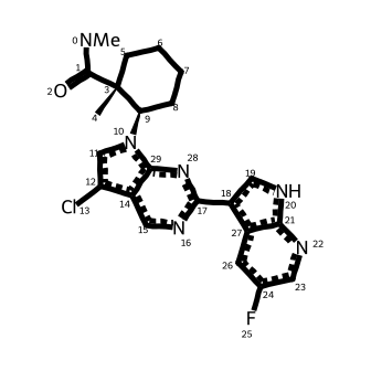 CNC(=O)[C@]1(C)CCCC[C@H]1n1cc(Cl)c2cnc(-c3c[nH]c4ncc(F)cc34)nc21